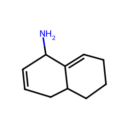 NC1C=CCC2CCCC=C12